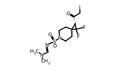 CN(C)/C=N/S(=O)(=O)N1CCC2(CC1)[C@H](C(=O)CI)C2(F)F